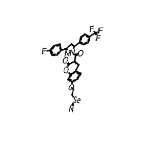 N#C[Se]CCOc1ccc2c(c1)OC(=O)C(C(=O)N1N=C(c3ccc(F)cc3)CC1c1ccc(C(F)(F)F)cc1)C2